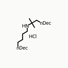 CCCCCCCCCCCCCCNC(C)(C)CCCCCCCCCCC.Cl